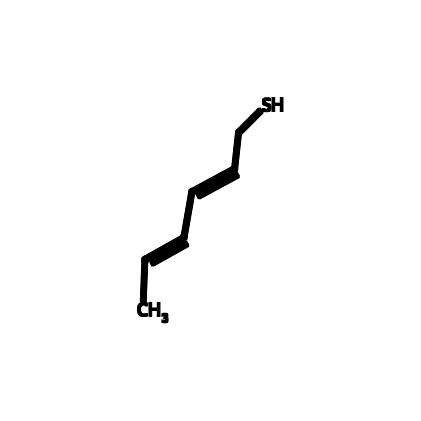 CC=CC=CCS